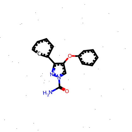 NC(=O)n1cc(Oc2ccccc2)c(-c2ccccc2)n1